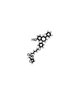 O=S(=O)(CCCCCOc1ccc([C@@H]2CCC(c3ccccc3)=Cc3ccc(O)cc32)cc1)Cc1ccco1